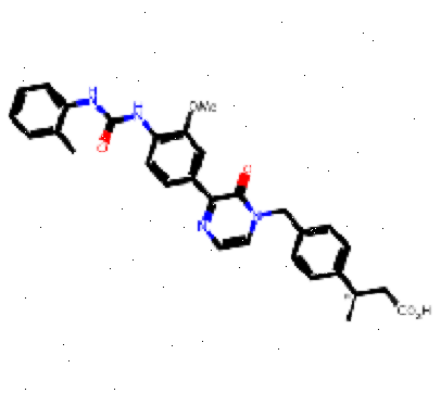 COc1cc(-c2nccn(Cc3ccc([C@H](C)CC(=O)O)cc3)c2=O)ccc1NC(=O)Nc1ccccc1C